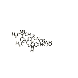 Cc1ccc(-c2c(C)noc2C)cc1N(CC1CC(Nc2cc3c(cc2F)C(=O)N(C2CCC(=O)NC2=O)C3)C1)c1ccc(C2(C#N)CC2)cc1